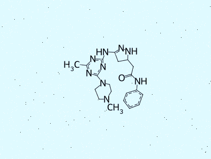 Cc1nc(NC2=NNC(CC(=O)Nc3ccccc3)C2)nc(N2CCN(C)CC2)n1